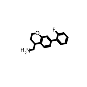 NCC1CCOc2cc(-c3ccccc3F)ccc21